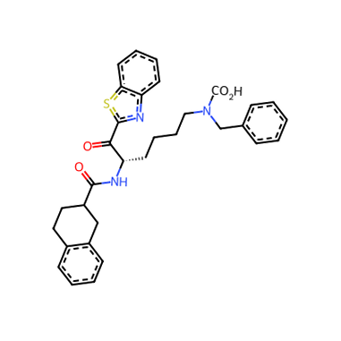 O=C(N[C@@H](CCCCN(Cc1ccccc1)C(=O)O)C(=O)c1nc2ccccc2s1)C1CCc2ccccc2C1